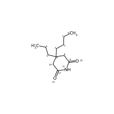 CCCCC1(CCC)CC(=O)NC(=O)C1